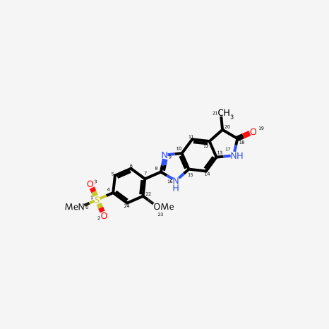 CNS(=O)(=O)c1ccc(-c2nc3cc4c(cc3[nH]2)NC(=O)C4C)c(OC)c1